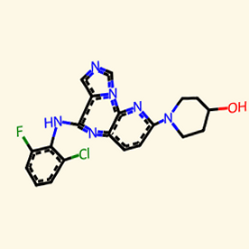 OC1CCN(c2ccc3nc(Nc4c(F)cccc4Cl)c4cncn4c3n2)CC1